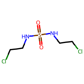 O=S(=O)(NCCCl)NCCCl